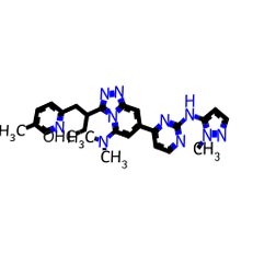 Cc1ccc(CC(CC=O)c2nnc3cc(-c4ccnc(Nc5ccnn5C)n4)cc(N(C)C)n23)nc1